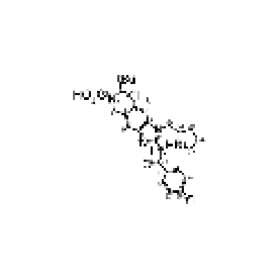 CC(N(Cc1ccc2c(c1)nc(NC(=O)c1ccc(Cl)cc1)n2CC1CCCN1)C(=O)O)C(C)(C)C